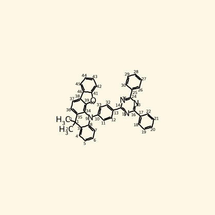 CC1(C)c2ccccc2N(c2ccc(-c3nc(-c4ccccc4)nc(-c4ccccc4)n3)cc2)c2c1ccc1c2oc2ccccc21